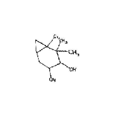 CC1(C)C(O)C(O)CC2CC21C